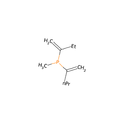 C=C(CC)P(C)C(=C)CCC